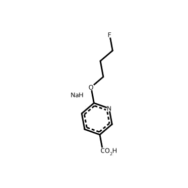 O=C(O)c1ccc(OCCCF)nc1.[NaH]